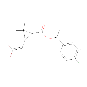 CCC(OC(=O)C1C(C=C(Br)Br)C1(C)C)c1ccc(Cl)cc1